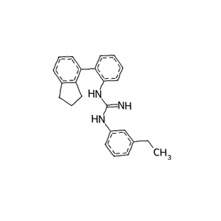 CCc1cccc(NC(=N)Nc2ccccc2-c2cccc3c2CCC3)c1